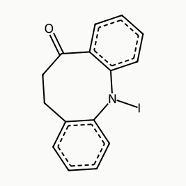 O=C1CCc2ccccc2N(I)c2ccccc21